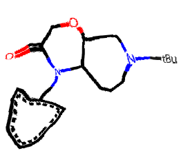 CC(C)(C)N1CCC2C(C1)OCC(=O)N2c1ccccc1